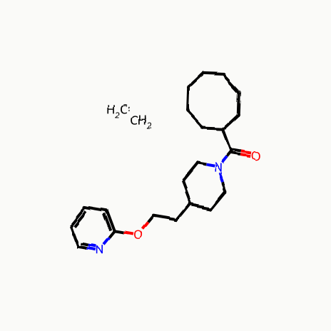 O=C([C]1CCCCCCC1)N1CCC(CCOc2ccccn2)CC1.[CH2].[CH2]